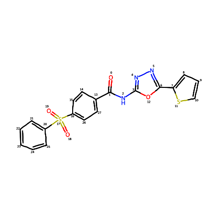 O=C(Nc1nnc(-c2cccs2)o1)c1ccc(S(=O)(=O)c2ccccc2)cc1